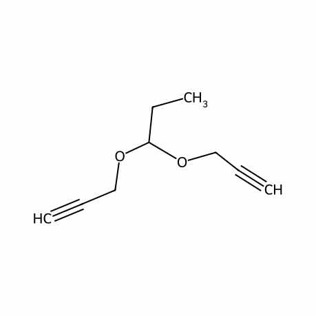 C#CCOC(CC)OCC#C